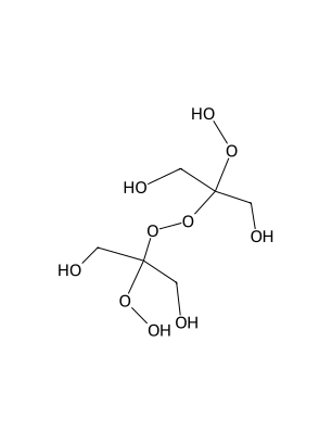 OCC(CO)(OO)OOC(CO)(CO)OO